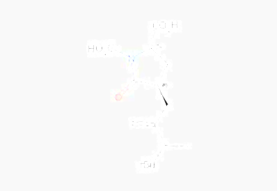 C=C(C[C@@H]1C[C@@H](C(=O)O)N(C(=O)O)C1=O)C(C)C(C)(C)C